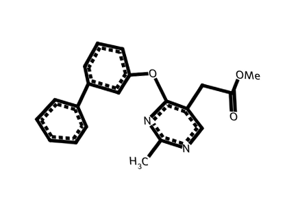 COC(=O)Cc1cnc(C)nc1Oc1cccc(-c2ccccc2)c1